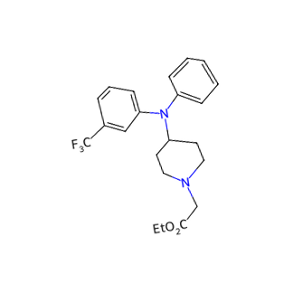 CCOC(=O)CN1CCC(N(c2ccccc2)c2cccc(C(F)(F)F)c2)CC1